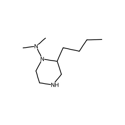 CCCCC1CNCCN1N(C)C